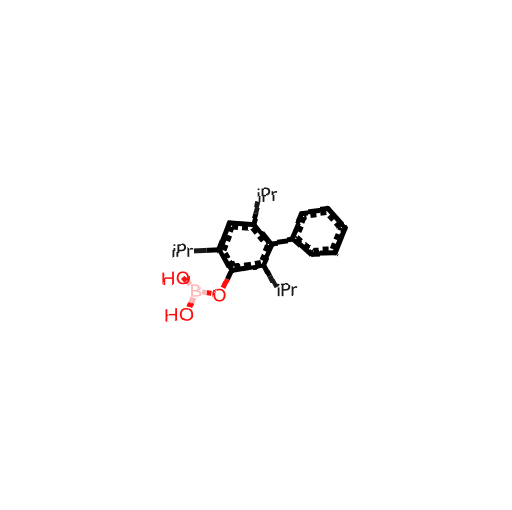 CC(C)c1cc(C(C)C)c(-c2ccccc2)c(C(C)C)c1OB(O)O